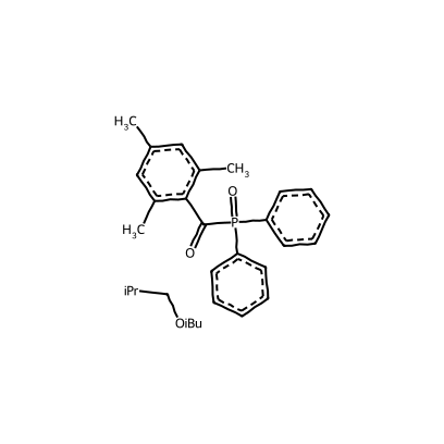 CC(C)COCC(C)C.Cc1cc(C)c(C(=O)P(=O)(c2ccccc2)c2ccccc2)c(C)c1